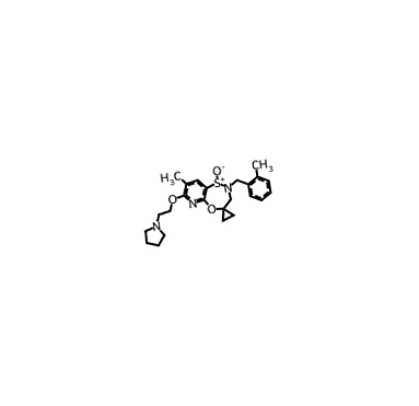 Cc1ccccc1CN1CC2(CC2)Oc2nc(OCCN3CCCC3)c(C)cc2[S+]1[O-]